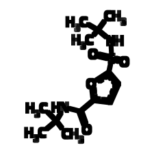 CC(C)(C)NC(=O)c1ccc(S(=O)(=O)NC(C)(C)C)o1